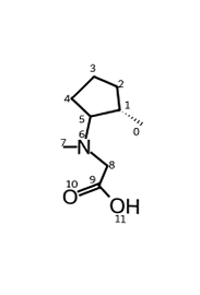 C[C@H]1CCCC1N(C)CC(=O)O